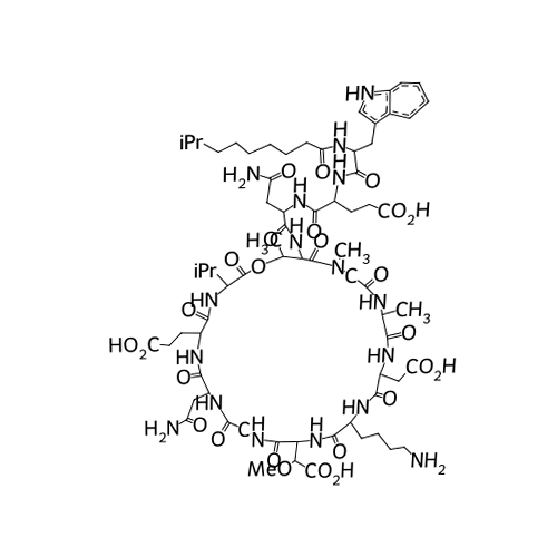 COC(C(=O)O)C1NC(=O)C(CCCCN)NC(=O)C(CC(=O)O)NC(=O)C(C)NC(=O)CN(C)C(=O)C(NC(=O)C(CC(N)=O)NC(=O)C(CCC(=O)O)NC(=O)C(Cc2c[nH]c3ccccc23)NC(=O)CCCCCCC(C)C)C(C)OC(=O)C(C(C)C)NC(=O)C(CCC(=O)O)NC(=O)C(CC(N)=O)NC(=O)CNC1=O